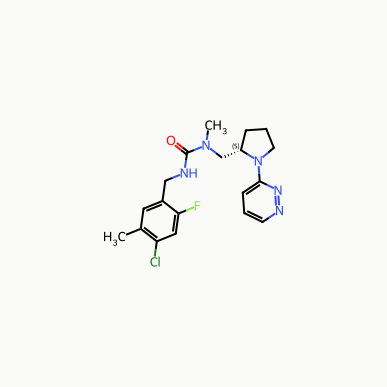 Cc1cc(CNC(=O)N(C)C[C@@H]2CCCN2c2cccnn2)c(F)cc1Cl